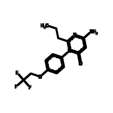 CCCc1nc(N)cc(=O)n1-c1ccc(OCC(F)(F)F)cc1